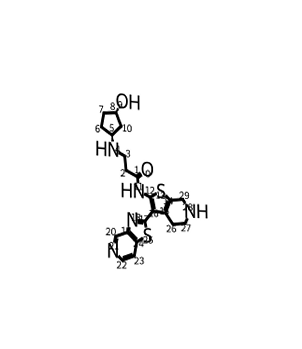 O=C(CCN[C@H]1CC[C@@H](O)C1)Nc1sc2c(c1-c1nc3cnccc3s1)CCNC2